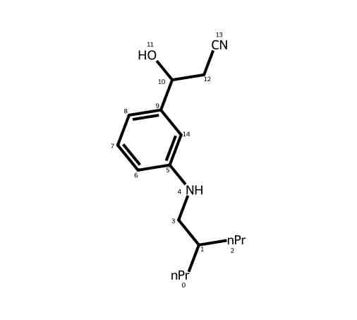 CCCC(CCC)CNc1cccc(C(O)CC#N)c1